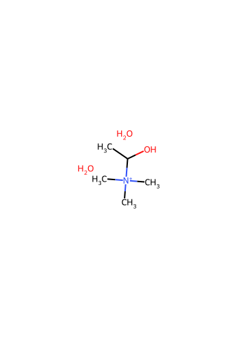 CC(O)[N+](C)(C)C.O.O